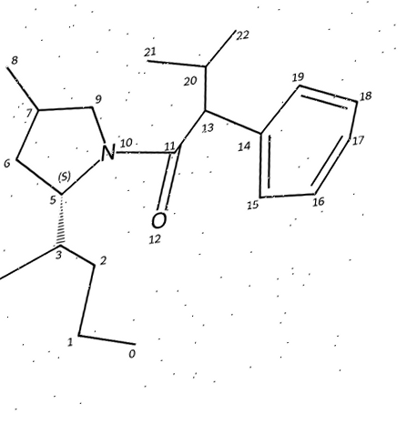 CCCC(C)[C@@H]1CC(C)CN1C(=O)C(c1ccccc1)C(C)C